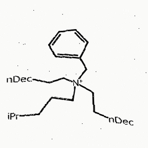 CCCCCCCCCCCC[N+](CCCCCCCCCCCC)(CCCC(C)C)Cc1ccccc1